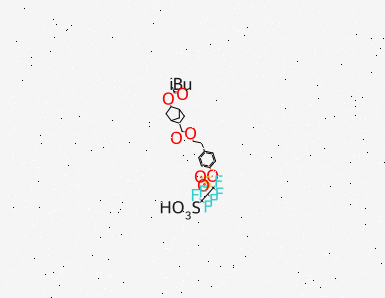 CCC(C)C(=O)OC1CC2CC1CC2C(=O)OCCc1ccc(OS(=O)(=O)C(F)(F)C(F)(F)C(F)(F)S(=O)(=O)O)cc1